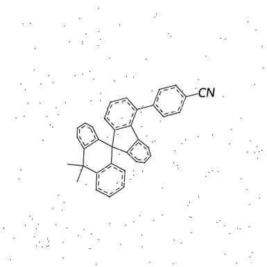 CC1(C)c2ccccc2C2(c3ccccc3-c3c(-c4ccc(C#N)cc4)cccc32)c2ccccc21